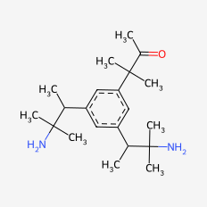 CC(=O)C(C)(C)c1cc(C(C)C(C)(C)N)cc(C(C)C(C)(C)N)c1